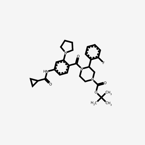 CC(C)(C)OC(=O)N1CCN(C(=O)c2ccc(NC(=O)C3CC3)cc2N2CCCC2)C(c2ccccc2F)C1